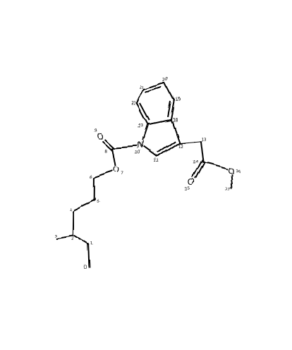 CCC(C)CCCOC(=O)n1cc(CC(=O)OC)c2ccccc21